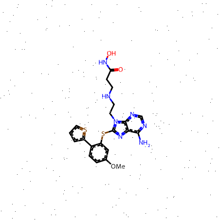 COc1ccc(-c2cccs2)c(Sc2nc3c(N)ncnc3n2CCNCCC(=O)NO)c1